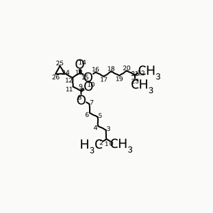 CC(C)CCCCCOC(=O)CC(C(=O)OCCCCCC(C)C)C1CC1